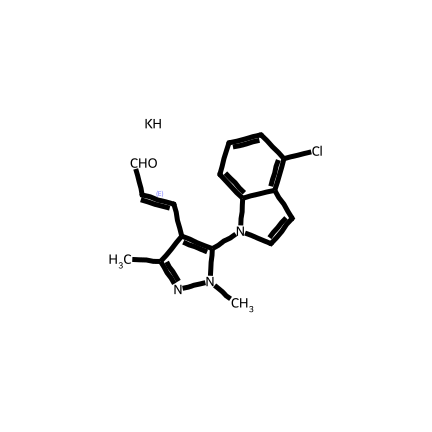 Cc1nn(C)c(-n2ccc3c(Cl)cccc32)c1/C=C/C=O.[KH]